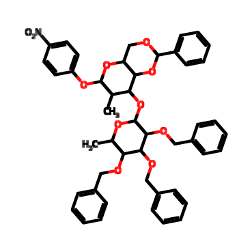 CC1OC(OC2C(C)C(Oc3ccc([N+](=O)[O-])cc3)OC3COC(c4ccccc4)OC32)C(OCc2ccccc2)C(OCc2ccccc2)C1OCc1ccccc1